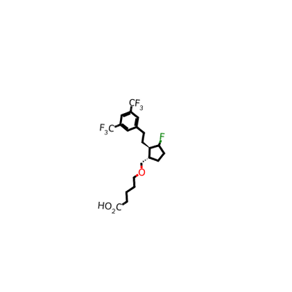 O=C(O)CCCCOC[C@H]1CCC(F)[C@@H]1CCc1cc(C(F)(F)F)cc(C(F)(F)F)c1